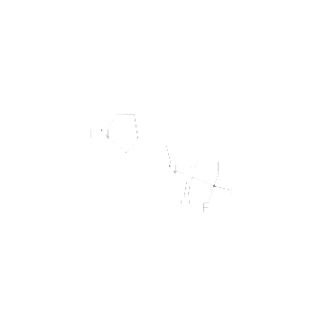 O=S(=O)(NC[C@H]1CCNC1)C(F)(F)F